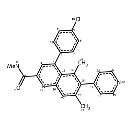 CNC(=O)c1cc(-c2ccc(Cl)cc2)c2c(C)c(-c3ccncc3)c(C)cc2n1